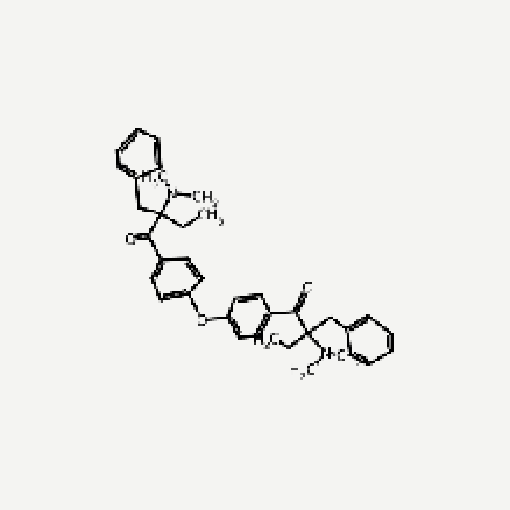 CCC(Cc1ccccc1)(C(=O)c1ccc(Oc2ccc(C(=O)C(CC)(Cc3ccccc3)N(C)C)cc2)cc1)N(C)C